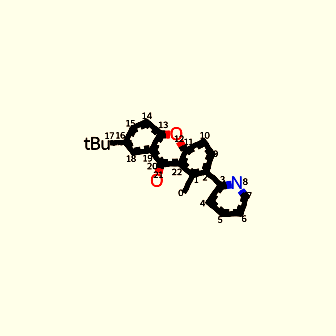 Cc1c(-c2ccccn2)ccc2oc3ccc(C(C)(C)C)cc3c(=O)c12